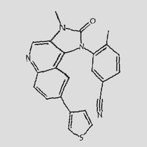 Cc1ccc(C#N)cc1-n1c(=O)n(C)c2cnc3ccc(-c4ccsc4)cc3c21